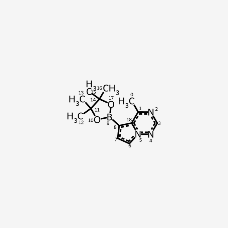 Cc1ncnn2ccc(B3OC(C)(C)C(C)(C)O3)c12